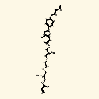 C=CC(=O)OCC(O)COCCOCC(O)CO/C(C)=C/c1oc(-c2ccc(CCCCC)cc2)cc1C